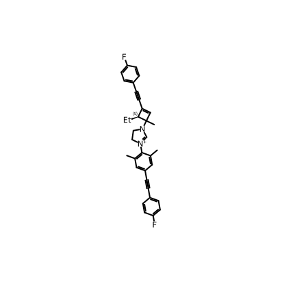 CC[C@H]1C(C#Cc2ccc(F)cc2)=CC1(C)N1C=[N+](c2c(C)cc(C#Cc3ccc(F)cc3)cc2C)CC1